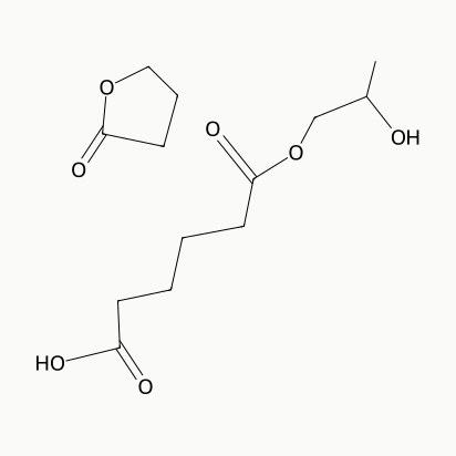 CC(O)COC(=O)CCCCC(=O)O.O=C1CCCO1